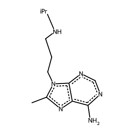 Cc1nc2c(N)ncnc2n1CCCNC(C)C